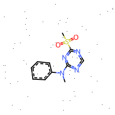 CN(c1ccccc1)c1ncnc(S(C)(=O)=O)n1